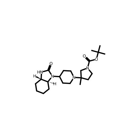 CC(C)(C)OC(=O)N1CCC(C)(N2CCC(N3C(=O)N[C@H]4CCCC[C@@H]43)CC2)C1